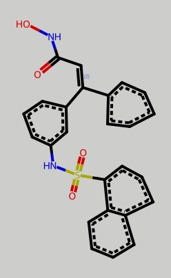 O=C(/C=C(/c1ccccc1)c1cccc(NS(=O)(=O)c2cccc3ccccc23)c1)NO